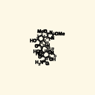 COc1ncc(-c2ccc(O)c3c2C[C@@H]2C[C@@H]4[C@@H](N(C)C)C(O)=C(C(N)=O)C(=O)[C@]4(O)C(O)=C2C3=O)c(OC)n1